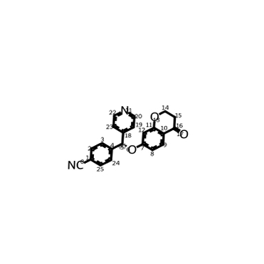 N#Cc1ccc([C@@H](Oc2ccc3c(c2)OCCC3=O)c2ccncc2)cc1